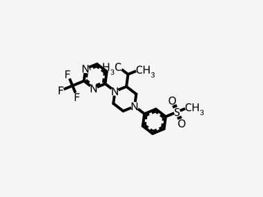 CC(C)C1CN(c2cccc(S(C)(=O)=O)c2)CCN1c1ccnc(C(F)(F)F)n1